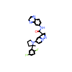 CC1(c2cc(F)ccc2F)CCCN1c1ccn2ncc(C(=O)Nc3ccc4nccnc4c3)c2c1